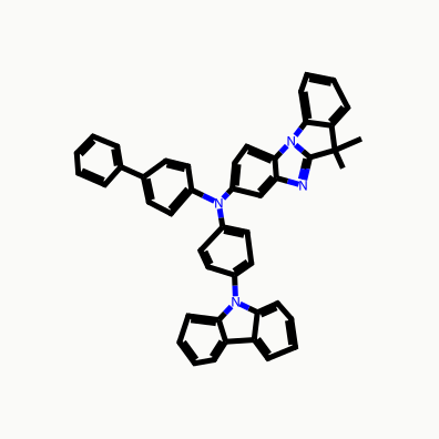 CC1(C)c2ccccc2-n2c1nc1cc(N(c3ccc(-c4ccccc4)cc3)c3ccc(-n4c5ccccc5c5ccccc54)cc3)ccc12